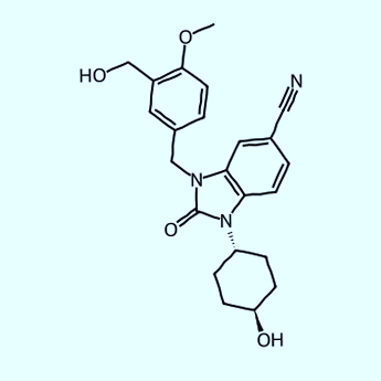 COc1ccc(Cn2c(=O)n([C@H]3CC[C@H](O)CC3)c3ccc(C#N)cc32)cc1CO